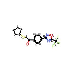 O=C(CSC1CCCC1)c1ccc(-c2noc(C(F)(F)F)n2)cc1